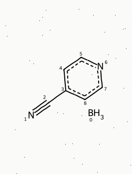 B.N#Cc1ccncc1